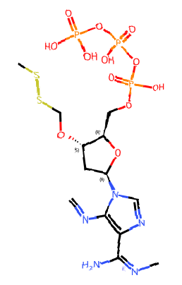 C=Nc1c(/C(N)=N\C)ncn1[C@H]1C[C@H](OCSSC)[C@@H](COP(=O)(O)OP(=O)(O)OP(=O)(O)O)O1